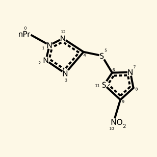 CCCn1nnc(Sc2ncc([N+](=O)[O-])s2)n1